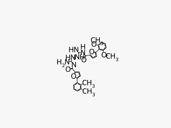 COc1cccc(OC)c1-c1ccc(C(=O)NC(=N)NNC(N)=NC(=O)c2ccc(-c3cccc(C)c3C)o2)o1